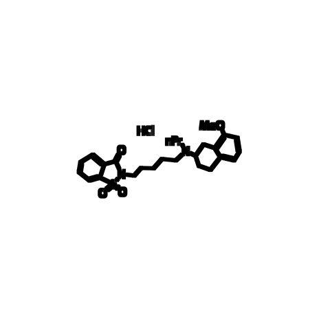 CCCN(CCCCCN1C(=O)c2ccccc2S1(=O)=O)C1CCc2cccc(OC)c2C1.Cl